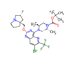 C[C@@H]1CN(c2nc(OC[C@@]34CCCN3C[C@H](F)C4)nc3cc(Br)c(C(F)(F)F)nc23)[C@@H](C)CN1C(=O)OC(C)(C)C